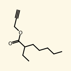 C#CCOC(=O)C(CC)CCCCC